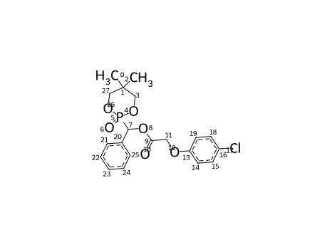 CC1(C)COP(=O)(C(OC(=O)COc2ccc(Cl)cc2)c2ccccc2)OC1